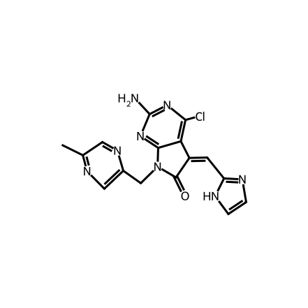 Cc1cnc(CN2C(=O)C(=Cc3ncc[nH]3)c3c(Cl)nc(N)nc32)cn1